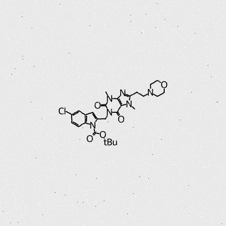 Cn1c(CCN2CCOCC2)nc2c1c(=O)n(Cc1cc3cc(Cl)ccc3n1C(=O)OC(C)(C)C)c(=O)n2C